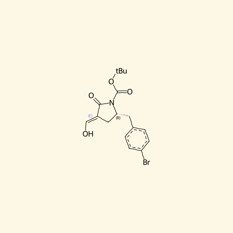 CC(C)(C)OC(=O)N1C(=O)/C(=C/O)C[C@H]1Cc1ccc(Br)cc1